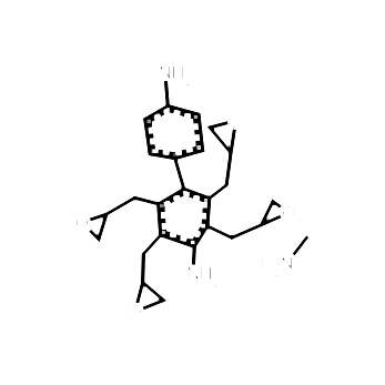 CN.Nc1ccc(-c2c(CC3CO3)c(CC3CO3)c(N)c(CC3CO3)c2CC2CO2)cc1